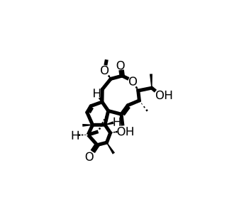 CO[C@H]1C[C@H]2C=C[C@]3(C)[C@H]4[C@H](O)[C@@H](C)C(=O)[C@@H]3C[C@@]24/C(C)=C/[C@@H](C)[C@@H]([C@@H](C)O)OC1=O